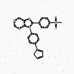 CS(=O)(=O)c1ccc(-c2nc3cncnc3n2-c2ccc(C3=CC=CC3)cc2)cc1